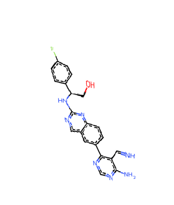 N=Cc1c(N)ncnc1-c1ccc2nc(N[C@H](CO)c3ccc(F)cc3)ncc2c1